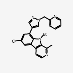 CCn1c2c(-c3cnn(Cc4ccccn4)c3)cc(Cl)cc2c2ccnc(C)c21